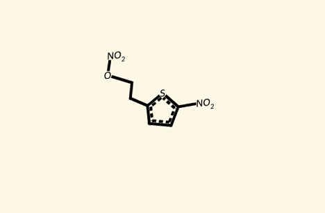 O=[N+]([O-])OCCc1ccc([N+](=O)[O-])s1